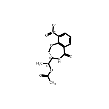 CC(=O)O[C@@H](C)[C@@H]1COc2c(cccc2[N+](=O)[O-])C(=O)N1